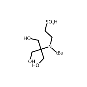 CC(C)(C)N(CCS(=O)(=O)O)C(CO)(CO)CO